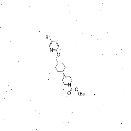 CC(C)(C)OC(=O)N1CCN(C2CCC(COc3ccc(Br)cn3)CC2)CC1